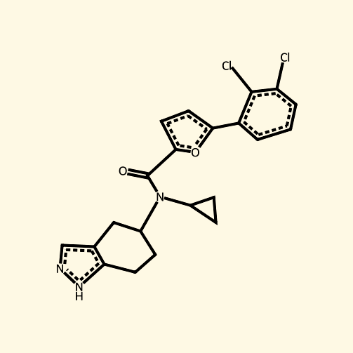 O=C(c1ccc(-c2cccc(Cl)c2Cl)o1)N(C1CC1)C1CCc2[nH]ncc2C1